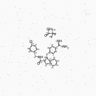 N=C(N)c1ccc(Cn2c(C(=O)NCc3ccc(Cl)cc3)cc3ccccc32)cc1.O=C(O)C(F)(F)F